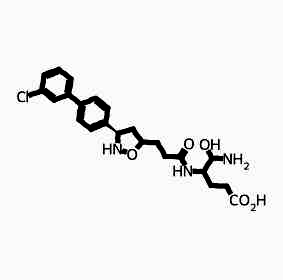 NC(O)C(CCC(=O)O)NC(=O)CCC1C[C@H](c2ccc(-c3cccc(Cl)c3)cc2)NO1